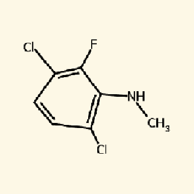 CNc1c(Cl)ccc(Cl)c1F